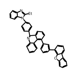 CCc1nc2ccccc2n1-c1ccc(-c2nc3ccccc3c3c(-c4cccc(-c5cccc6c5oc5ccccc56)c4)cccc23)cc1